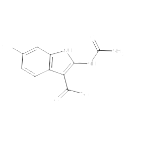 NC(=O)Nc1[nH]c2cc(C(F)(F)F)ccc2c1C(N)=O